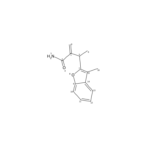 C=C(C(N)=O)C(C)c1oc2ccccc2c1C